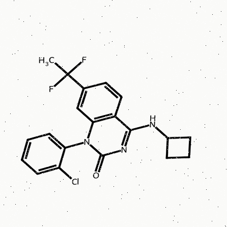 CC(F)(F)c1ccc2c(NC3CCC3)nc(=O)n(-c3ccccc3Cl)c2c1